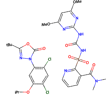 CC(C)Oc1cc(-n2nc(C(C)(C)C)oc2=O)c(Cl)cc1Cl.COc1cc(OC)nc(NC(=O)NS(=O)(=O)c2ncccc2C(=O)N(C)C)n1